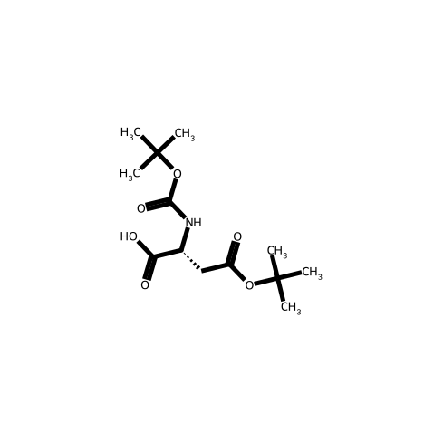 CC(C)(C)OC(=O)C[C@@H](NC(=O)OC(C)(C)C)C(=O)O